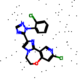 Clc1cc2c(cn1)-c1nc(-c3ncnn3-c3ccccc3Cl)cn1CCO2